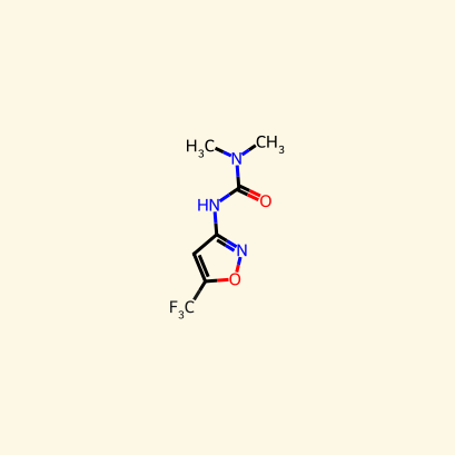 CN(C)C(=O)Nc1cc(C(F)(F)F)on1